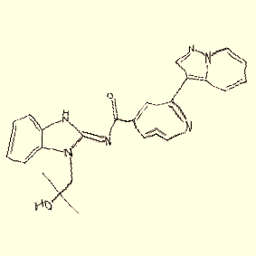 CC(C)(O)Cn1/c(=N/C(=O)c2ccnc(-c3cnn4ccccc34)c2)[nH]c2ccccc21